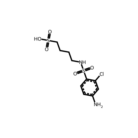 Nc1ccc(S(=O)(=O)NCCCCS(=O)(=O)O)c(Cl)c1